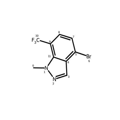 Cn1ncc2c(Br)ccc(C(F)(F)F)c21